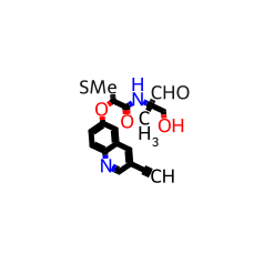 C#Cc1cnc2ccc(OC(SC)C(=O)NC(C)(C=O)CO)cc2c1